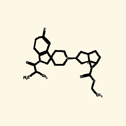 CCOC(=O)N1C2CCC3CC(N4CCC5(CC4)CN(C(=O)C(C)C)C4=C5C=C(F)CC4)C[C@@]321